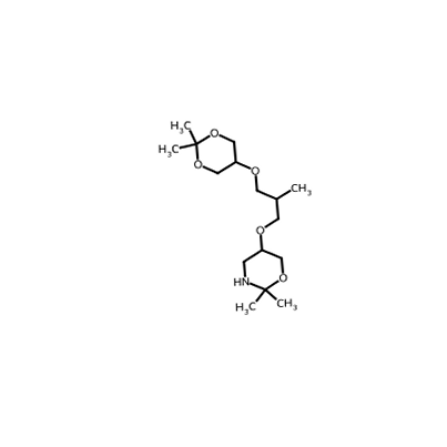 CC(COC1CNC(C)(C)OC1)COC1COC(C)(C)OC1